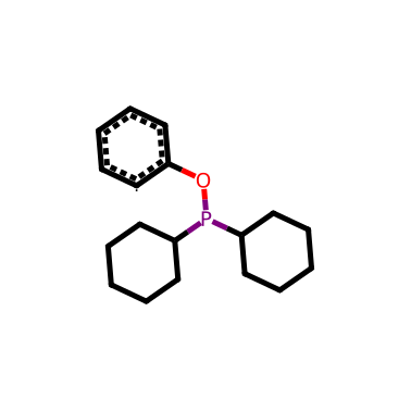 [c]1ccccc1OP(C1CCCCC1)C1CCCCC1